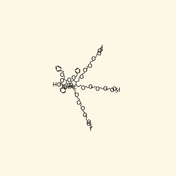 CC(=O)NC1C(O)OC(COCc2ccccc2)C(OC2OC(CCCOCCOCCOCCOCCOOSI)C(CCOCCOCCOCCOCCOOSI)C(CCOCCOCCOCCOCCOOSI)C2OCc2ccccc2)C1OCc1ccccc1